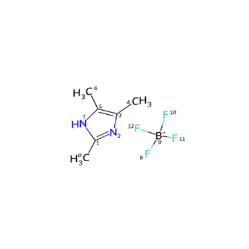 Cc1nc(C)c(C)[nH]1.F[B-](F)(F)F